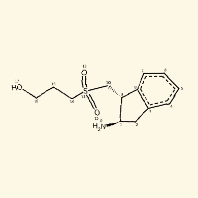 N[C@@H]1Cc2ccccc2[C@H]1CS(=O)(=O)CCCO